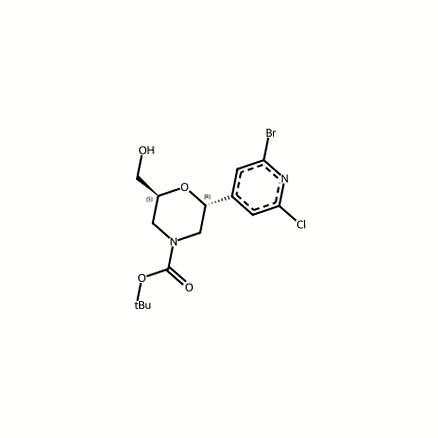 CC(C)(C)OC(=O)N1C[C@@H](CO)O[C@H](c2cc(Cl)nc(Br)c2)C1